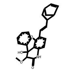 COC1C(=O)Nc2ccc(C=CC3CC4C=CC3C4)c(O)c2C1(O)c1ccccc1